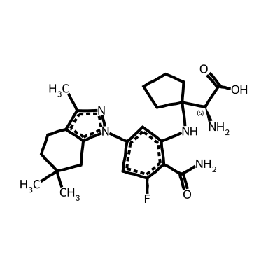 Cc1nn(-c2cc(F)c(C(N)=O)c(NC3([C@H](N)C(=O)O)CCCC3)c2)c2c1CCC(C)(C)C2